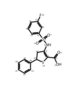 O=C(O)C1=C(NS(=O)(=O)c2cccc(F)c2)CC(c2ccccc2)S1